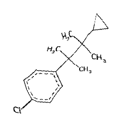 CC(C)(c1ccc(Cl)cc1)C(C)(C)C1CC1